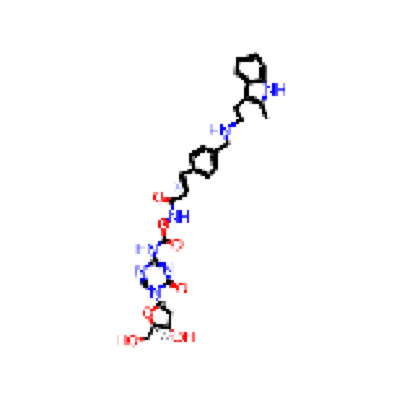 Cc1[nH]c2ccccc2c1CCNCc1ccc(/C=C/C(=O)NOC(=O)Nc2ncn([C@H]3C[C@H](O)[C@@H](CO)O3)c(=O)n2)cc1